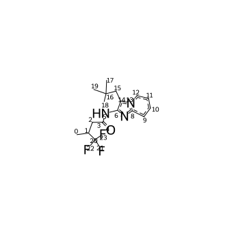 CC(CC(=O)Nc1nc2ccccn2c1CC(C)(C)C)C(F)(F)F